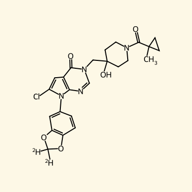 [2H]C1([2H])Oc2ccc(-n3c(Cl)cc4c(=O)n(CC5(O)CCN(C(=O)C6(C)CC6)CC5)cnc43)cc2O1